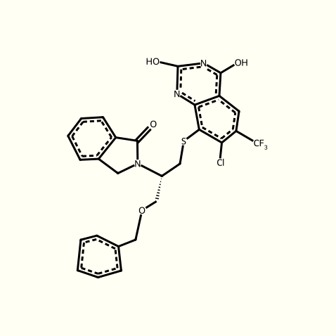 O=C1c2ccccc2CN1[C@@H](COCc1ccccc1)CSc1c(Cl)c(C(F)(F)F)cc2c(O)nc(O)nc12